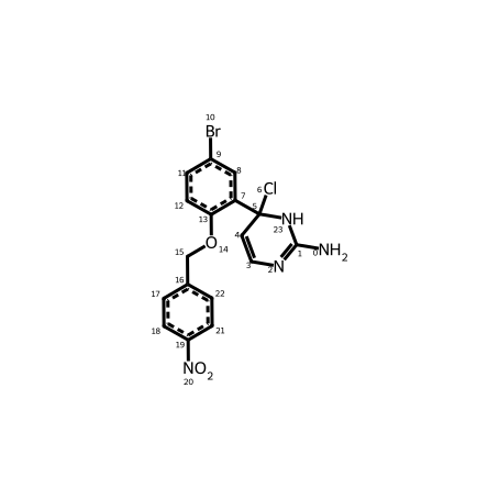 NC1=NC=CC(Cl)(c2cc(Br)ccc2OCc2ccc([N+](=O)[O-])cc2)N1